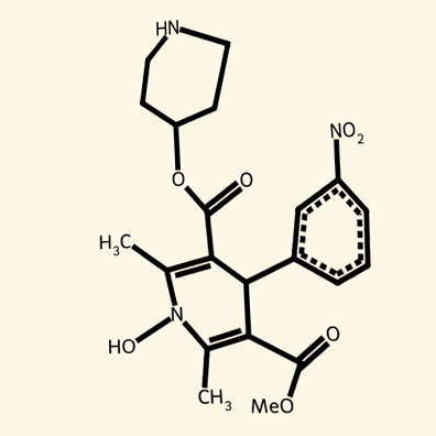 COC(=O)C1=C(C)N(O)C(C)=C(C(=O)OC2CCNCC2)C1c1cccc([N+](=O)[O-])c1